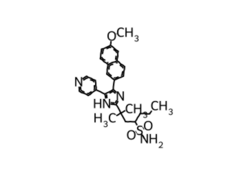 CCCC(CC(C)(C)c1nc(-c2ccc3cc(OC)ccc3c2)c(-c2ccncc2)[nH]1)S(N)(=O)=O